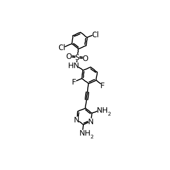 Nc1ncc(C#Cc2c(F)ccc(NS(=O)(=O)c3cc(Cl)ccc3Cl)c2F)c(N)n1